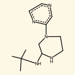 CC(C)(C)NC1CN(c2cnccn2)CCN1